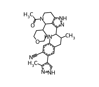 CC(=O)N1CCc2[nH]nc(C3Nc4cc(C#N)c(-c5c[nH]nc5C)cc4CC3C)c2C1C1CCOCC1